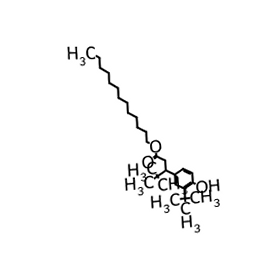 CCCCCCCCCCCCCOC(=O)CC(c1ccc(O)c(C(C)(C)C)c1)C(C)(C)C